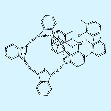 Cc1cccc(C)c1[O][Cu]([O]c1c(C)cccc1C)([O]c1c(C)cccc1C)([O]c1c(C)cccc1C)[c]1cccc2c3nc4nc(nc5[nH]c(nc6nc(nc([nH]3)c12)-c1ccccc1-6)c1ccccc51)-c1ccccc1-4